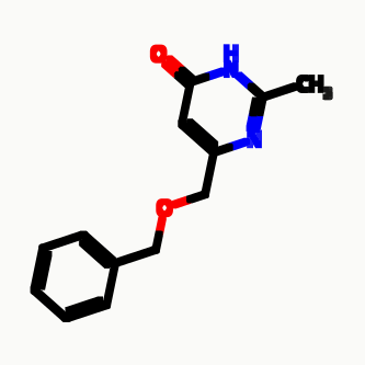 Cc1nc(COCc2ccccc2)cc(=O)[nH]1